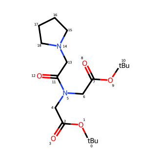 CC(C)(C)OC(=O)CN(CC(=O)OC(C)(C)C)C(=O)CN1CCCC1